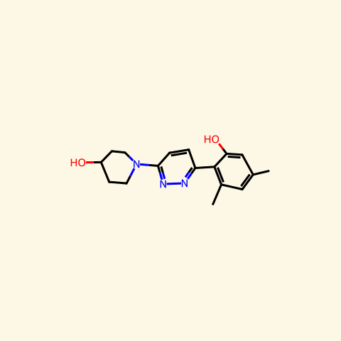 Cc1cc(C)c(-c2ccc(N3CCC(O)CC3)nn2)c(O)c1